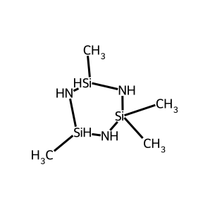 C[SiH]1N[SiH](C)N[Si](C)(C)N1